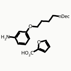 CCCCCCCCCCCCCCOc1cccc(N)c1.O=C(O)c1ccco1